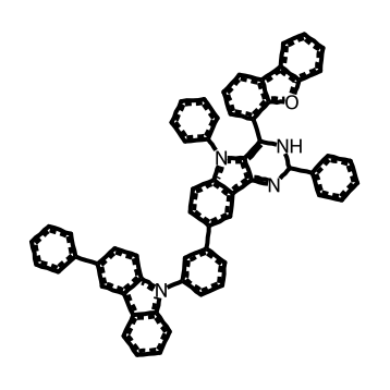 c1ccc(-c2ccc3c(c2)c2ccccc2n3-c2cccc(-c3ccc4c(c3)c3c(n4-c4ccccc4)=C(c4cccc5c4oc4ccccc45)NC(c4ccccc4)N=3)c2)cc1